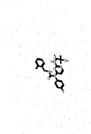 Cc1ccccc1CNC(=O)N(c1ccc(F)cc1)c1ccnc(N[C@@H](C)C(C)(C)O)n1